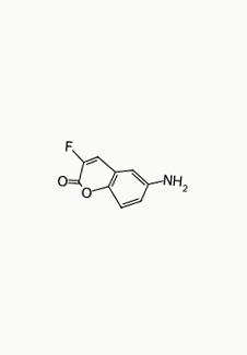 Nc1ccc2oc(=O)c(F)cc2c1